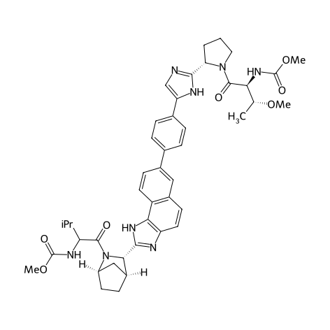 COC(=O)NC(C(=O)N1[C@@H]2CC[C@@H](C2)[C@H]1c1nc2ccc3cc(-c4ccc(-c5cnc([C@@H]6CCCN6C(=O)[C@@H](NC(=O)OC)[C@@H](C)OC)[nH]5)cc4)ccc3c2[nH]1)C(C)C